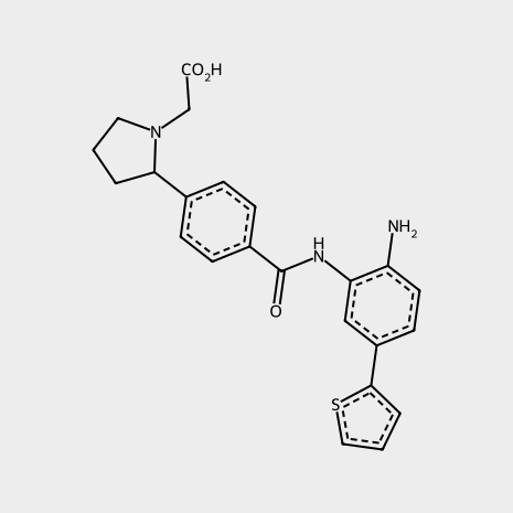 Nc1ccc(-c2cccs2)cc1NC(=O)c1ccc(C2CCCN2CC(=O)O)cc1